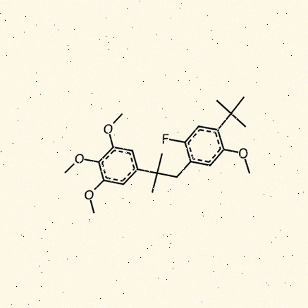 COc1cc(CC(C)(C)c2cc(OC)c(OC)c(OC)c2)c(F)cc1C(C)(C)C